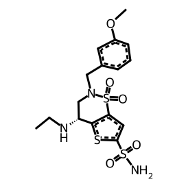 CCN[C@@H]1CN(Cc2cccc(OC)c2)S(=O)(=O)c2cc(S(N)(=O)=O)sc21